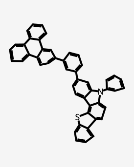 c1ccc(-n2c3cc(-c4cccc(-c5ccc6c7ccccc7c7ccccc7c6c5)c4)ccc3c3c4sc5ccccc5c4ccc32)cc1